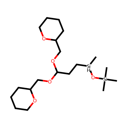 C[SiH](CCC(OCC1CCCCO1)OCC1CCCCO1)O[Si](C)(C)C